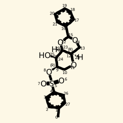 Cc1ccc(S(=O)(=O)O[C@@H]2CO[C@@H]3COC(c4ccccc4)O[C@@H]3[C@@H]2O)cc1